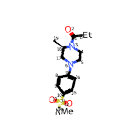 CCC(=O)N1CCN(c2ccc(S(=O)(=O)NC)cc2)C[C@H]1C